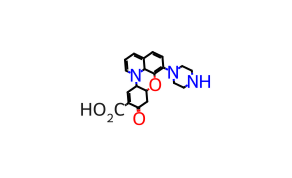 O=C(O)C1=CC2C(CC1=O)OC1=C(N3CCNCC3)C=CC3=CC=CN2C31